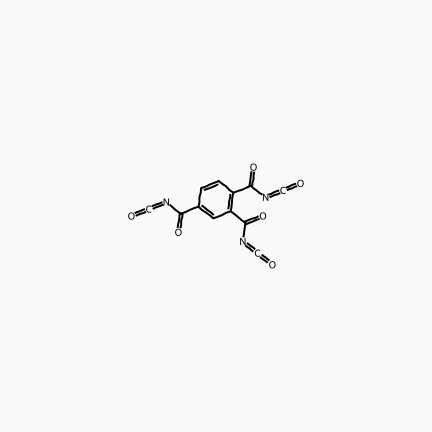 O=C=NC(=O)c1ccc(C(=O)N=C=O)c(C(=O)N=C=O)c1